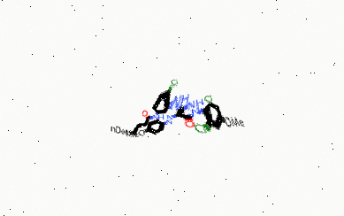 CCCCCCCCCCCCCC(=O)Nc1ccc(Cl)c(Nc2[nH]n(-c3c(Cl)cc(OC)cc3Cl)c(=O)c2N=Nc2ccc(OC)cc2)c1